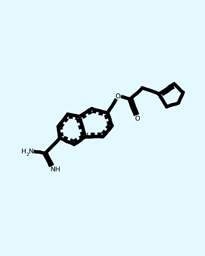 N=C(N)c1ccc2cc(OC(=O)CC3=CCCC3)ccc2c1